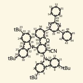 CC(C)(C)c1ccc2c(c1)c1cc(C(C)(C)C)ccc1n2-c1cc(-n2c3ccc(C(C)(C)C)cc3c3cc(C(C)(C)C)ccc32)c2c(oc3c(-c4cc(-c5ccccc5)nc(-c5ccccc5)n4)cccc32)c1C#N